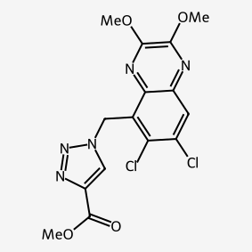 COC(=O)c1cn(Cc2c(Cl)c(Cl)cc3nc(OC)c(OC)nc23)nn1